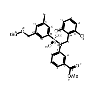 COC(=O)c1cccc(N(Cc2c(Cl)cccc2Cl)S(=O)(=O)c2cc(C)cc(COC(C)(C)C)c2)c1